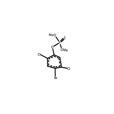 COP(=S)(OC)Oc1cc(Cl)c(Br)cc1Cl